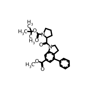 COC(=O)c1cc(-c2ccccc2)c2c(c1)N(C(=O)C1CCCN1C(=O)OC(C)(C)C)CC2